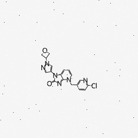 O=c1nc2n(Cc3ccc(Cl)nc3)cccc-2n1-c1cnn(C2COC2)c1